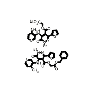 CCOC(=O)COC(=O)c1c(-c2cccs2)nn(CC)c(=O)c1Nc1cnccc1C.CCn1nc(-c2cccs2)c(C(=O)OCC(=O)OCc2ccccc2)c(Nc2cnccc2C)c1=O